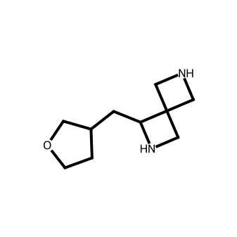 C1CC(CC2NCC23CNC3)CO1